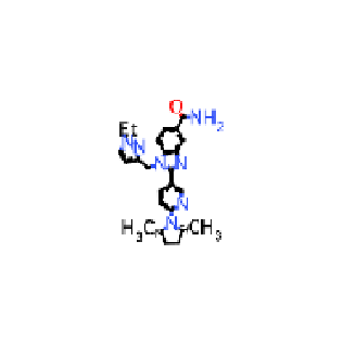 CCn1ccc(Cn2c(-c3ccc(N4[C@@H](C)CC[C@@H]4C)nc3)nc3cc(C(N)=O)ccc32)n1